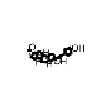 CC(=O)[C@H]1CC[C@H]2[C@@H]3CC[C@@H]4C[C@@](O)(C#Cc5ccc(O)cc5)CC[C@]4(C)[C@H]3CC[C@]12C